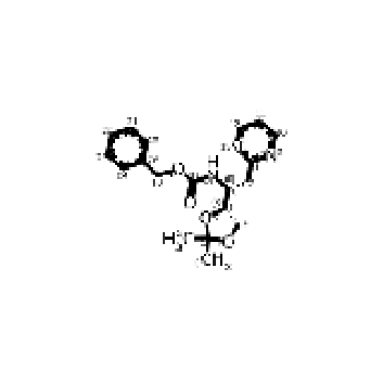 CC1(C)OC[C@@H]([C@@H](Cc2ncccn2)NC(=O)OCc2ccccc2)O1